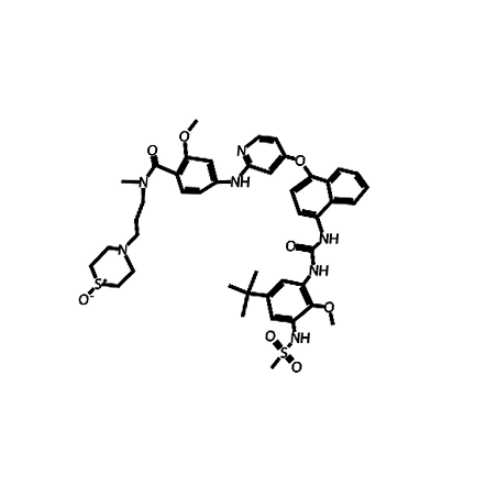 COc1cc(Nc2cc(Oc3ccc(NC(=O)Nc4cc(C(C)(C)C)cc(NS(C)(=O)=O)c4OC)c4ccccc34)ccn2)ccc1C(=O)N(C)CCCN1CC[S+]([O-])CC1